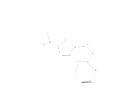 CC(O)c1cc2c(s1)-c1ccccc1CC2